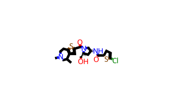 CC1CN(C)CCc2sc(C(=O)N3C[C@H](NC(=O)C4CC=C(Cl)S4)C[C@H]3CO)cc21